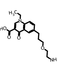 CCn1cc(C(=O)O)c(=O)c2cc(CCCOCCN)ccc21